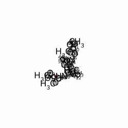 COc1cc(S(C)(=O)=O)ccc1OCCNCC(COc1ccccc1C)OC(=O)C(=O)OC(CNCCOc1ccc(S(C)(=O)=O)cc1OC)COc1ccccc1C